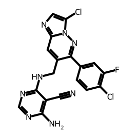 N#Cc1c(N)ncnc1NCc1cc2ncc(Cl)n2nc1-c1ccc(Cl)c(F)c1